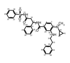 CN(c1ccc(C(=O)NC(CC(=O)NS(=O)(=O)c2ccccc2)c2ccccc2)cc1NCCc1ccccc1)C1CC1